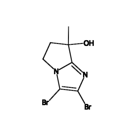 CC1(O)CCn2c1nc(Br)c2Br